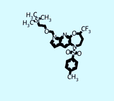 Cc1ccc(S(=O)(=O)N2CCC(C(F)(F)F)Oc3nc4c(ccn4COCC[Si](C)(C)C)cc32)cc1